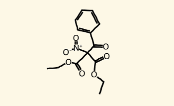 CCOC(=O)C(C(=O)OCC)(C(=O)c1ccccc1)[N+](=O)[O-]